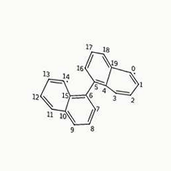 [c]1cccc2c(-c3cccc4ccc[c]c34)cccc12